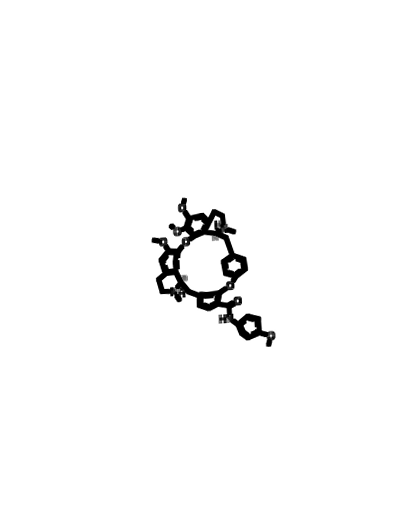 COc1ccc(NC(=O)c2ccc3cc2Oc2ccc(cc2)C[C@H]2c4c(cc(OC)c(OC)c4Oc4cc5c(cc4OC)CCN(C)[C@@H]5C3)CCN2C)cc1